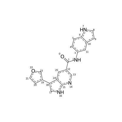 O=C(Nc1ccc2[nH]ccc2c1)c1cnc2[nH]cc(-c3ccoc3)c2c1